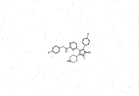 Cn1c(=O)c(-c2ccc(F)cc2)c(-c2ccnc(NCc3ccc(F)cc3)n2)n1C1CCNCC1